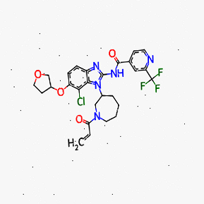 C=CC(=O)N1CCCCC(n2c(NC(=O)c3ccnc(C(F)(F)F)c3)nc3ccc(OC4CCOC4)c(Cl)c32)C1